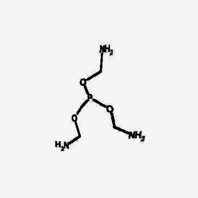 NCOP(OCN)OCN